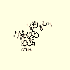 CCNC(=O)OC[C@@H](NC(=O)N[C@H](C(=O)N1C[C@H]2[C@@H]([C@H]1C(=O)NC(CC1CCC1)C(=O)C(N)=O)C2(C)C)C1(C)CCCCC1)C(C)(C)C